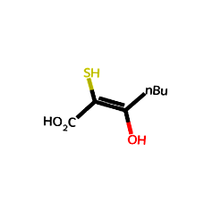 CCCCC(O)=C(S)C(=O)O